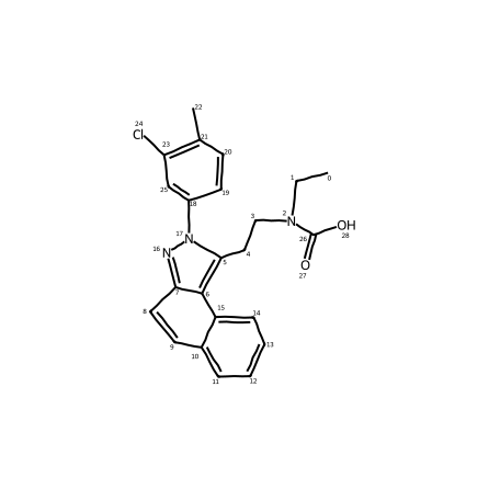 CCN(CCc1c2c(ccc3ccccc32)nn1-c1ccc(C)c(Cl)c1)C(=O)O